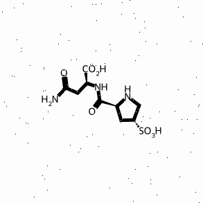 NC(=O)C[C@H](NC(=O)[C@@H]1C[C@@H](S(=O)(=O)O)CN1)C(=O)O